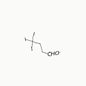 O=[C]CCC(I)(I)I